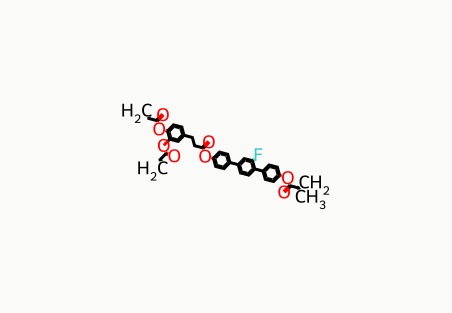 C=CC(=O)Oc1ccc(CCC(=O)Oc2ccc(-c3ccc(-c4ccc(OC(=O)C(=C)C)cc4)c(F)c3)cc2)cc1OC(=O)C=C